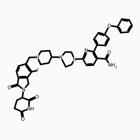 NC(=O)c1ccc(N2CCN(C3CCN(Cc4ccc5c(c4F)CN(C4CCC(=O)NC4=O)C5=O)CC3)CC2)nc1-c1ccc(Oc2ccccc2)cc1